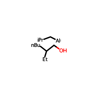 CC(C)[CH2][Al].CCCCC(CC)CO